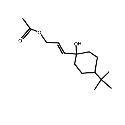 CC(=O)OCC=CC1(O)CCC(C(C)(C)C)CC1